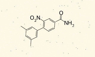 Cc1cc(C)cc(-c2ccc(C(N)=O)cc2[N+](=O)[O-])c1